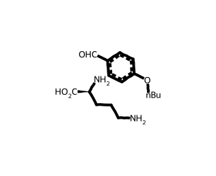 CCCCOc1ccc(C=O)cc1.NCCC[C@H](N)C(=O)O